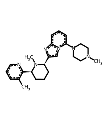 Cc1cccnc1[C@@H]1CCC[C@H](c2cn3c(N4CCN(C)CC4)cccc3n2)N1C